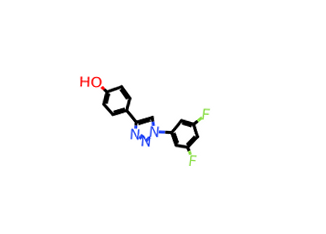 Oc1ccc(-c2cn(-c3cc(F)cc(F)c3)nn2)cc1